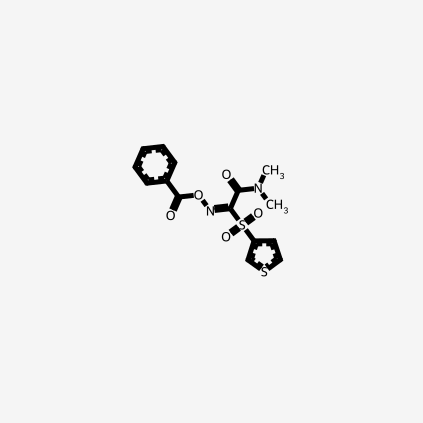 CN(C)C(=O)/C(=N\OC(=O)c1ccccc1)S(=O)(=O)c1ccsc1